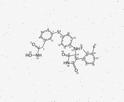 O=C(Cc1cccc(Sc2ccc(NC3=C(c4cccc(F)c4F)C(=O)NC3=O)cc2)c1)NO